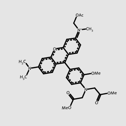 COC(=O)CN(CC(=O)OC)c1ccc(-c2c3ccc(=[N+](C)COC(C)=O)cc-3oc3cc(N(C)C)ccc23)cc1OC